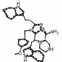 COc1ccc(Cn2c(CCc3c[nH]c4ccccc34)nnc2C(Cc2c[nH]c3ccccc23)N2CCNC[C@@H]2C(N)=O)cc1